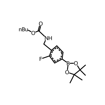 CCCCOC(=O)NCc1ccc(B2OC(C)(C)C(C)(C)O2)cc1F